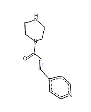 O=C(/C=C/c1ccncc1)N1CCNCC1